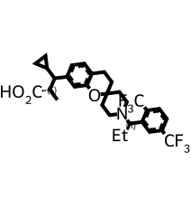 CC[C@H](c1cc(C(F)(F)F)ccc1C(F)(F)F)N1CCC2(CCc3ccc(C(C4CC4)[C@H](C)C(=O)O)cc3O2)CC1